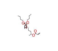 C=CC(=O)OC(C)CCCO[SiH](OCCCC)OCCCC